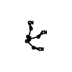 N#Cc1ccc(-c2ccc(OCCCCCCCCCCC(=O)OCC(COC(=O)CCCCCCCCCCOc3ccc(-c4ccc(C#N)cc4)cc3)OC(=O)CCCCCCCCCCOc3ccc(-c4ccc(C#N)cc4)cc3)cc2)cc1